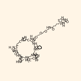 CC(C)[C@H]1NC(=O)[C@@H](Cc2c[nH]cn2)NC(=O)[C@@H](Cc2ccccc2)NC(=O)[C@@H](NC(=O)COCCOCCOCCNC(=O)CCCC[C@H]2SC[C@H]3NC(=O)N[C@H]32)Cc2cn(nn2)CCCC[C@@H](C(N)=O)NC(=O)CNC(=O)[C@@H](Cc2c[nH]cn2)NC1=O